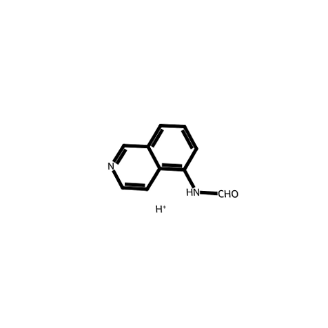 O=CNc1cccc2cnccc12.[H+]